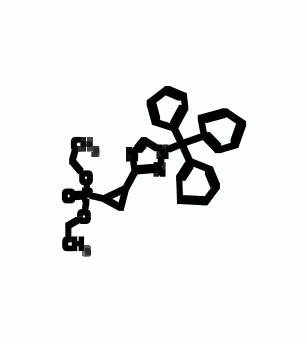 CCOP(=O)(OCC)C1CC1c1ncn(C(c2ccccc2)(c2ccccc2)c2ccccc2)n1